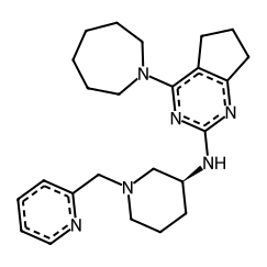 c1ccc(CN2CCC[C@H](Nc3nc4c(c(N5CCCCCC5)n3)CCC4)C2)nc1